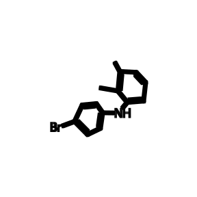 Cc1cccc(Nc2ccc(Br)cc2)c1C